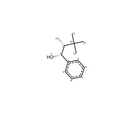 C[C@@H]([C@@H](O)c1ccccc1)C(C)(C)C